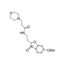 COc1ccc2c(c1)OC(CCNC(=O)CCN1CCOCC1)[N+]2=O